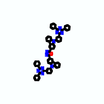 C1=CCCC(c2nc(-c3ccccc3)nc(-c3cccc(-n4c5ccccc5c5cc(-c6nnc(-c7ccc8c(c7)c7ccccc7n8-c7cccc(-c8nc(-c9ccccc9)nc(-c9ccccc9)n8)c7)o6)ccc54)c3)n2)=C1